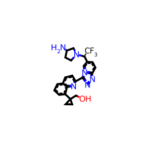 NC1CCN([C@H](c2ccc3nnc(-c4ccc5cccc(C6(CO)CC6)c5n4)n3c2)C(F)(F)F)C1